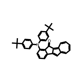 CC(C)(C)c1ccc(N(c2ccc(C(C)(C)C)cc2)c2cccc3c2C(=O)c2c4cccccc-4cc2-3)cc1